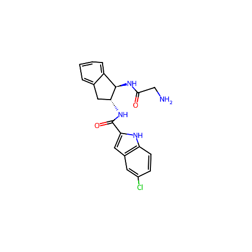 NCC(=O)N[C@@H]1c2ccccc2C[C@H]1NC(=O)c1cc2cc(Cl)ccc2[nH]1